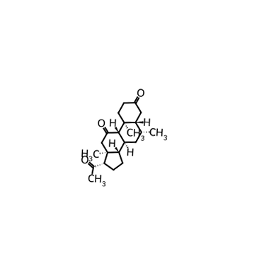 CC(=O)[C@H]1CC[C@H]2[C@@H]3C[C@@H](C)[C@H]4CC(=O)CC[C@]4(C)[C@H]3C(=O)C[C@]12C